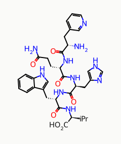 CC(C)[C@H](NC(=O)[C@H](Cc1c[nH]c2ccccc12)NC(=O)[C@H](Cc1c[nH]cn1)NC(=O)[C@H](CCC(N)=O)NC(=O)[C@@H](N)Cc1cccnc1)C(=O)O